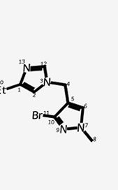 CCc1cn(Cc2cn(C)nc2Br)cn1